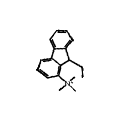 CCC1c2ccccc2-c2cccc([N+](C)(C)C)c21